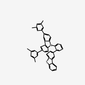 Cc1cc(C)cc(-c2ccc3c(c2)c2cc(-c4cc(C)cc(C)c4)ccc2n3-c2ccccc2-c2ccc3sc4ccccc4c3c2)c1